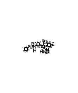 N#Cc1c(-c2ccnc(NC(=O)CCc3ccccc3)c2)sc(-c2nnc[nH]2)c1-c1ccc(Cl)cc1Cl